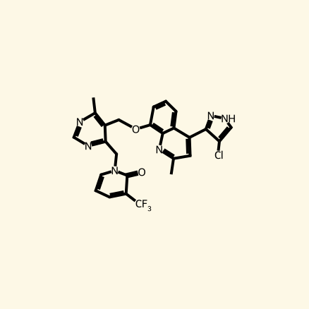 Cc1cc(-c2n[nH]cc2Cl)c2cccc(OCc3c(C)ncnc3Cn3cccc(C(F)(F)F)c3=O)c2n1